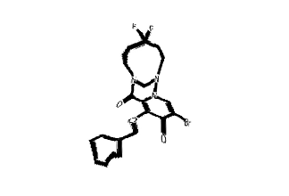 O=C1c2c(OCc3ccccc3)c(=O)c(Br)cn2N2CCC(F)(F)CCN1C2